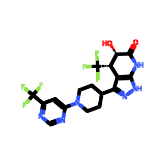 O=C1Nc2[nH]nc(C3CCN(c4cc(C(F)(F)F)ncn4)CC3)c2[C@H](C(F)(F)F)[C@@H]1O